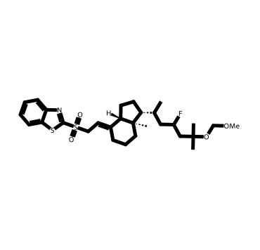 COCOC(C)(C)CC(F)CC(C)[C@H]1CC[C@H]2/C(=C/CS(=O)(=O)c3nc4ccccc4s3)CCC[C@]12C